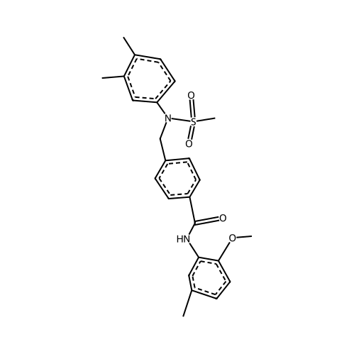 COc1ccc(C)cc1NC(=O)c1ccc(CN(c2ccc(C)c(C)c2)S(C)(=O)=O)cc1